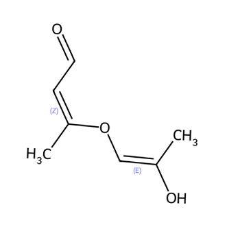 C/C(=C/C=O)O/C=C(\C)O